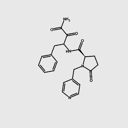 NC(=O)C(=O)C(Cc1ccccc1)NC(=O)[C@H]1CCC(=O)N1Cc1ccncc1